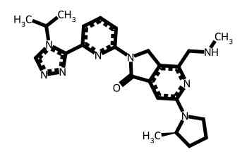 CNCc1nc(N2CCC[C@H]2C)cc2c1CN(c1cccc(-c3nncn3C(C)C)n1)C2=O